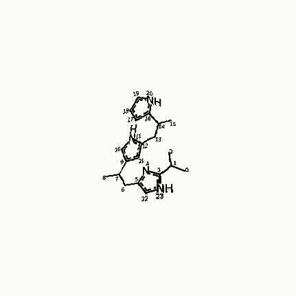 CC(C)c1nc(CC(C)c2c[nH]c(CC(C)c3ccc[nH]3)c2)c[nH]1